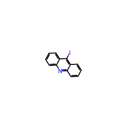 Ic1c2ccccc2nc2ccccc12